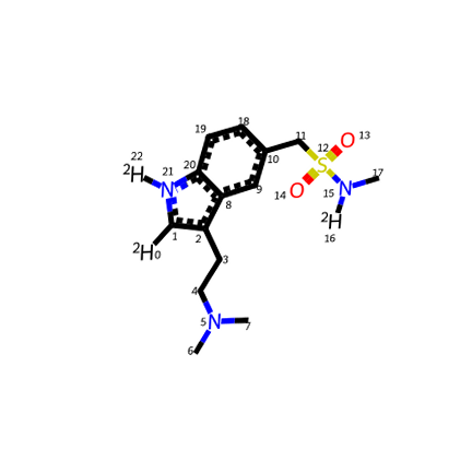 [2H]c1c(CCN(C)C)c2cc(CS(=O)(=O)N([2H])C)ccc2n1[2H]